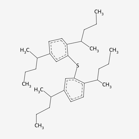 CCCC(C)c1ccc(C(C)CCC)c(Sc2cc(C(C)CCC)ccc2C(C)CCC)c1